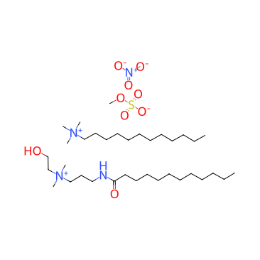 CCCCCCCCCCCC(=O)NCCC[N+](C)(C)CCO.CCCCCCCCCCCC[N+](C)(C)C.COS(=O)(=O)[O-].O=[N+]([O-])[O-]